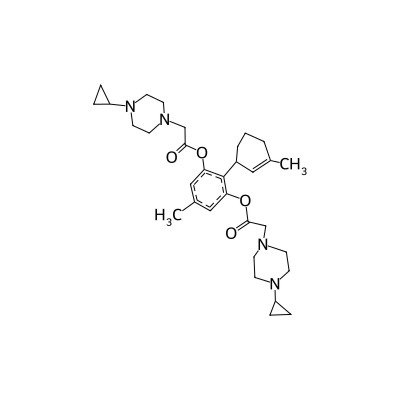 CC1=CC(c2c(OC(=O)CN3CCN(C4CC4)CC3)cc(C)cc2OC(=O)CN2CCN(C3CC3)CC2)CCC1